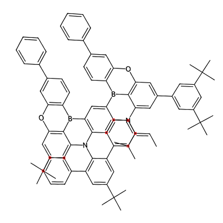 CC=C(C(C)C)N1c2cc3c(cc2B2c4ccc(-c5ccccc5)cc4Oc4cc(-c5cc(C(C)(C)C)cc(C(C)(C)C)c5)cc1c42)B1c2ccc(-c4ccccc4)cc2Oc2cc(C(C)(C)C)cc(c21)N3c1c(-c2ccccc2)cc(C(C)(C)C)cc1-c1ccccc1